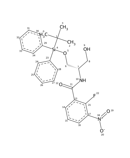 CC(C)(C)[Si](OC[C@H](CO)NC(=O)c1cccc([N+](=O)[O-])c1F)(c1ccccc1)c1ccccc1